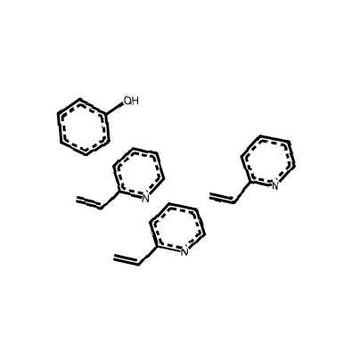 C=Cc1ccccn1.C=Cc1ccccn1.C=Cc1ccccn1.Oc1ccccc1